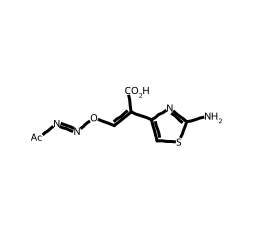 CC(=O)N=NOC=C(C(=O)O)c1csc(N)n1